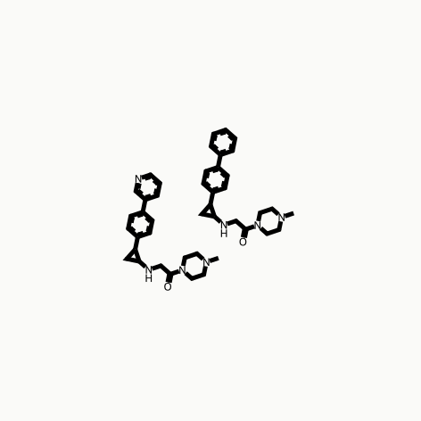 CN1CCN(C(=O)CNC2CC2c2ccc(-c3ccccc3)cc2)CC1.CN1CCN(C(=O)CNC2CC2c2ccc(-c3cccnc3)cc2)CC1